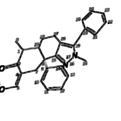 CC1C(=O)/C(=C\O)C[C@]2(c3ccccc3)c3nn(C)c(-c4ccccc4)c3CCC12